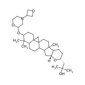 CC(C)(O)C[C@H]1CCC2[C@@H](CC3C4CCC5C(C)(C)C(OC6CN(C7COC7)CCO6)CCC56CC46CCC32C)O1